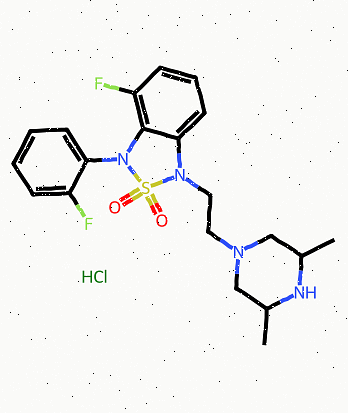 CC1CN(CCN2c3cccc(F)c3N(c3ccccc3F)S2(=O)=O)CC(C)N1.Cl